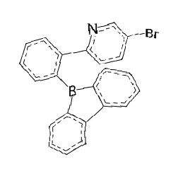 Brc1ccc(-c2ccccc2B2c3ccccc3-c3ccccc32)nc1